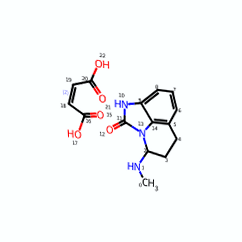 CNC1CCc2cccc3[nH]c(=O)n1c23.O=C(O)/C=C\C(=O)O